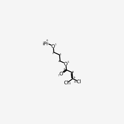 CC(C)OCCCOC(=O)C=C(Cl)Cl